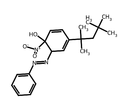 CC(C)(C)CC(C)(C)C1=CC(N=Nc2ccccc2)C(O)([N+](=O)[O-])C=C1